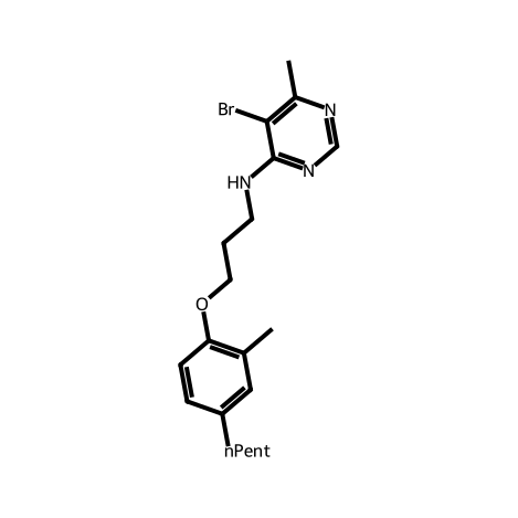 CCCCCc1ccc(OCCCNc2ncnc(C)c2Br)c(C)c1